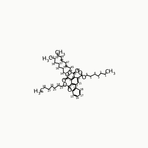 CCCCCCCOC(=O)c1cc(-c2ccccc2)c(C(=O)OCCCCCCC)c(C(=O)OCCCCCCC)c1C(=O)OCCCCCCC